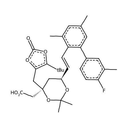 Cc1cc(C)c(C=C[C@@H]2C[C@](CC(=O)O)(Cc3oc(=O)oc3C(C)(C)C)OC(C)(C)O2)c(-c2ccc(F)c(C)c2)c1